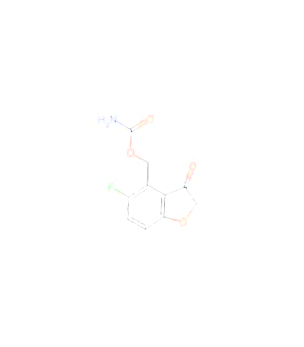 NC(=O)OCc1c(F)ccc2c1C(=O)CO2